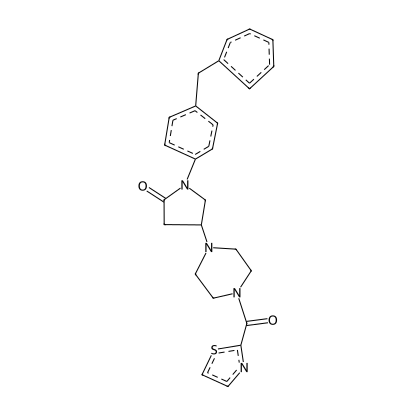 O=C(c1nccs1)N1CCN(C2CC(=O)N(c3ccc(Cc4ccccc4)cc3)C2)CC1